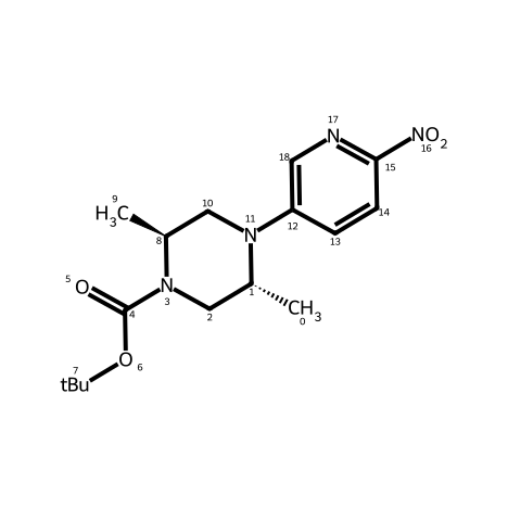 C[C@@H]1CN(C(=O)OC(C)(C)C)[C@@H](C)CN1c1ccc([N+](=O)[O-])nc1